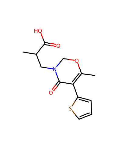 CC1=C(c2cccs2)C(=O)N(CC(C)C(=O)O)CO1